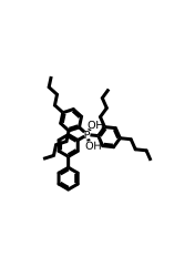 CCCCc1ccc(P(O)(O)(c2cccc(-c3ccccc3)c2)c2ccc(CCCC)cc2CCCC)c(CCCC)c1